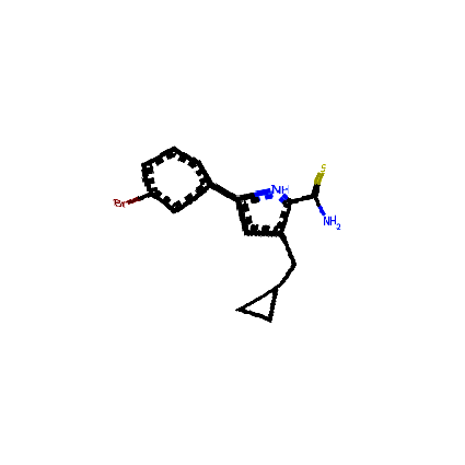 NC(=S)c1[nH]c(-c2cccc(Br)c2)cc1CC1CC1